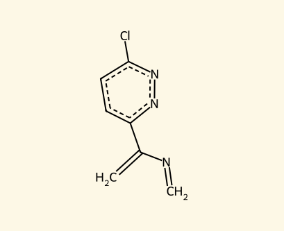 C=NC(=C)c1ccc(Cl)nn1